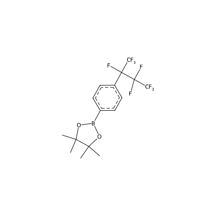 CC1(C)OB(c2ccc(C(F)(C(F)(F)F)C(F)(F)C(F)(F)F)cc2)OC1(C)C